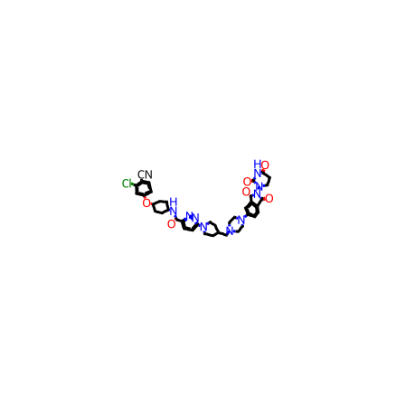 N#Cc1ccc(OC2CCC(NC(=O)c3ccc(N4CCC(CN5CCN(c6ccc7c(c6)C(=O)N(N6CCC(=O)NC6=O)C7=O)CC5)CC4)nn3)CC2)cc1Cl